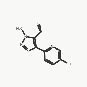 Cn1nnc(-c2ccc(Cl)cn2)c1C=O